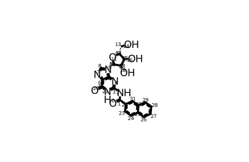 O=C(Nc1nc2c(ncn2[C@@H]2O[C@H](CO)[C@@H](O)[C@H]2O)c(=O)[nH]1)c1ccc2ccccc2c1